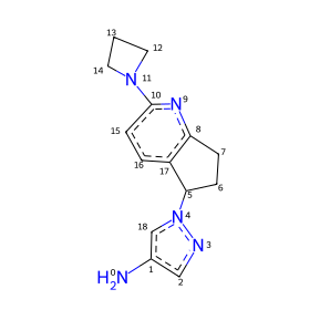 Nc1cnn(C2CCc3nc(N4CCC4)ccc32)c1